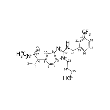 CN1CCC(c2ccc3c(c2)nc(NCc2cccc(C(F)(F)F)c2)n3CCCO)C1=O